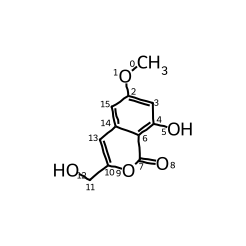 COc1cc(O)c2c(=O)oc(CO)cc2c1